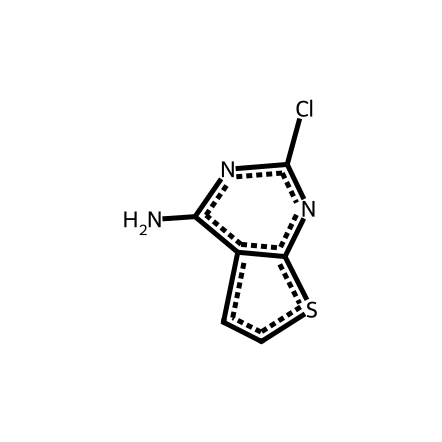 Nc1nc(Cl)nc2sccc12